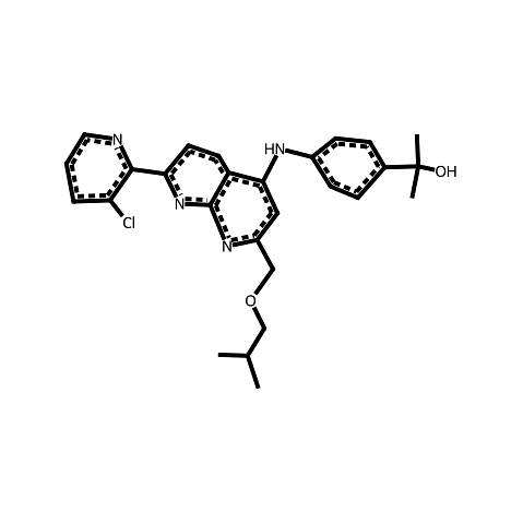 CC(C)COCc1cc(Nc2ccc(C(C)(C)O)cc2)c2ccc(-c3ncccc3Cl)nc2n1